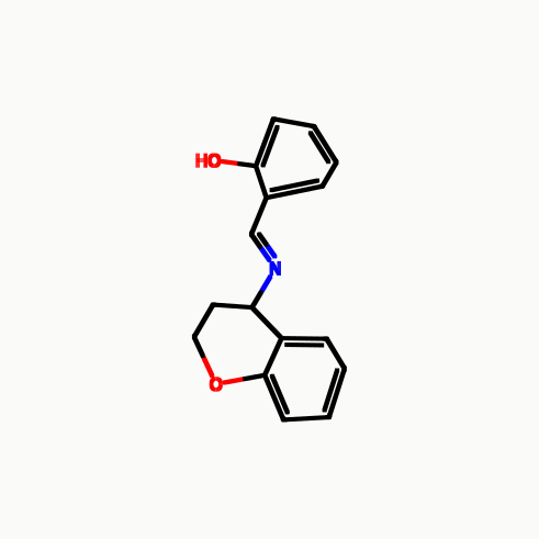 Oc1ccccc1C=NC1CCOc2ccccc21